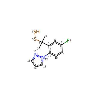 CC(C)(SS)c1cc(F)ccc1-n1cccn1